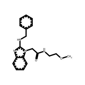 COCCNC(=O)Cn1c(NCc2ccccc2)nc2ccccc21